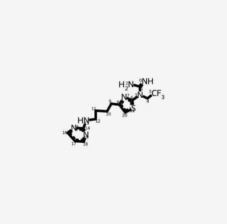 N=C(N)N(CC(F)(F)F)c1nc(CCCCNc2ncccn2)cs1